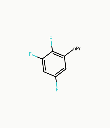 CCCc1cc(F)cc(F)c1F